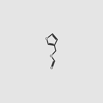 O=[C]OCc1ccoc1